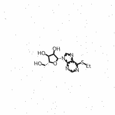 CCSc1ncnc2c1ncn2[C@@H]1O[C@H](CO)C(O)C1O